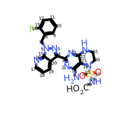 Nc1nc(-c2nn(Cc3ccccc3F)c3ncccc23)nc2c1N(S(=O)(=O)NC(=O)O)CCN2